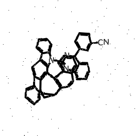 N#Cc1cccc(-c2nc(-n3c4ccccc4c4cc5c6c(c43)-c3c(ccc4ccccc34)C(CC6)c3ccccc3-5)nc3ccccc23)c1